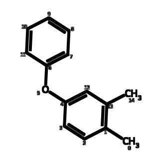 Cc1ccc(Oc2cc[c]cc2)cc1C